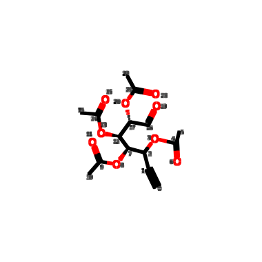 C#CC(OC(C)=O)[C@@H](OC(C)=O)[C@@H](OC(C)=O)[C@@H](C=O)OC(C)=O